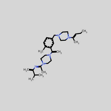 C=C(/N=C(\C)N1CCN(C(=C)c2cc(CN3CCN(/C(C)=C/CC)CC3)ccc2C)CC1)C(C)C